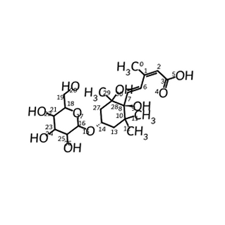 CC(=C/C(=O)O)/C=C/[C@]1(O)C(C)(C)C[C@H](OC2OC(CO)C(O)C(O)C2O)CC1(C)O